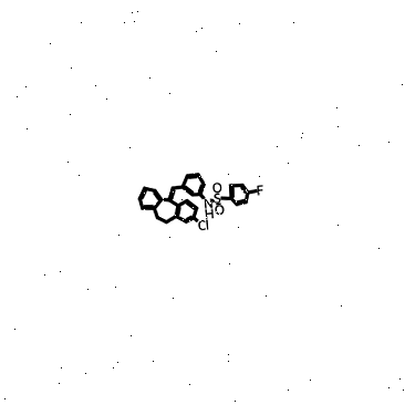 O=S(=O)(Nc1cccc(C=C2c3ccccc3CCc3cc(Cl)ccc32)c1)c1ccc(F)cc1